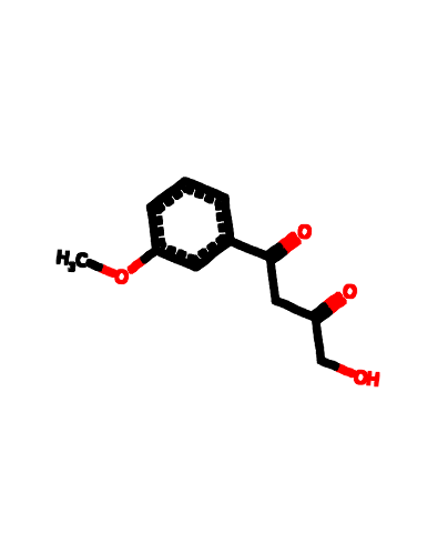 COc1cccc(C(=O)CC(=O)CO)c1